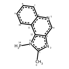 Cc1nc2cnc3ccccc3c2n1P